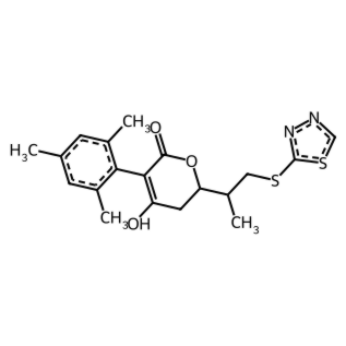 Cc1cc(C)c(C2=C(O)CC(C(C)CSc3nncs3)OC2=O)c(C)c1